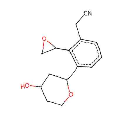 N#CCc1cccc(C2CC(O)CCO2)c1C1CO1